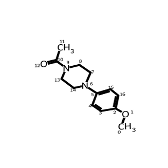 COc1ccc(N2CCN(C(C)=O)CC2)cc1